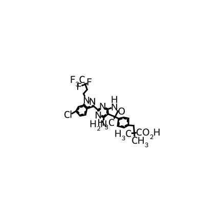 CC(C)(Cc1ccc(C2(C)C(=O)Nc3nc(-c4nn(CCC(F)(F)C(F)(F)F)c5cc(Cl)ccc45)nc(N)c32)cc1)C(=O)O